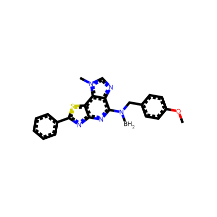 BN(Cc1ccc(OC)cc1)c1nc2nc(-c3ccccc3)sc2c2c1ncn2C